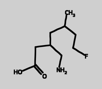 CC(CCF)CC(CN)CC(=O)O